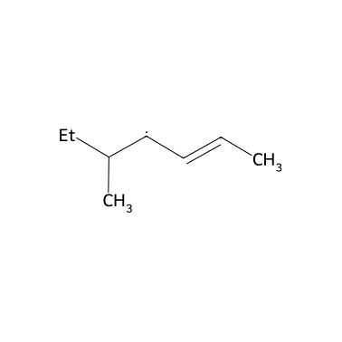 CC=C[CH]C(C)CC